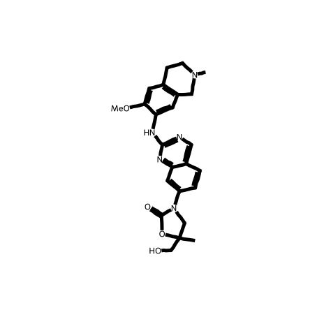 COc1cc2c(cc1Nc1ncc3ccc(N4CC(C)(CO)OC4=O)cc3n1)CN(C)CC2